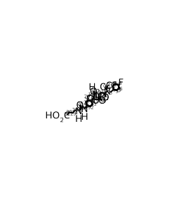 C[C@H](N(Cc1ccc(F)cc1)C(=O)CN1C(=O)O[C@@]2(CCc3cc(NC(=O)NCCCC(=O)O)ccc32)C1=O)C(F)(F)F